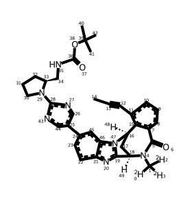 [2H]C([2H])([2H])N1C(=O)c2cccc(C#CC)c2[C@H]2C[C@@H]1c1nc3ccc(-c4cnc(N5CCC[C@H]5CNC(=O)OC(C)(C)C)nc4)cc3n12